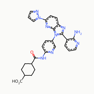 Nc1ncccc1-c1nc2ccc(-n3cccn3)nc2n1-c1ccc(NC(=O)C2CCC(C(=O)O)CC2)nc1